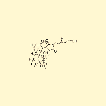 C=C(C)C(C1CC(=O)N(CCNCCO)C1=O)C(C)(C)C(C)(C)C(C)C(C)(C)C